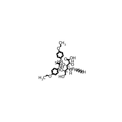 CCOc1ccc(NC(=S)Nc2ccc(OCC)cc2)cc1.F.O=C(O)[C@H](O)[C@@H](O)[C@H](O)[C@H](O)CO.[KH].[KH].[KH].[KH]